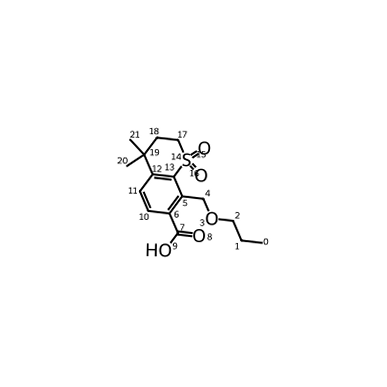 CCCOCc1c(C(=O)O)ccc2c1S(=O)(=O)CCC2(C)C